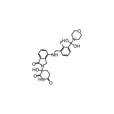 O=C1CCC(O)(N2Cc3c(NCc4cccc(C(O)(O)N5CCOCC5)c4F)cccc3C2=O)C(=O)N1